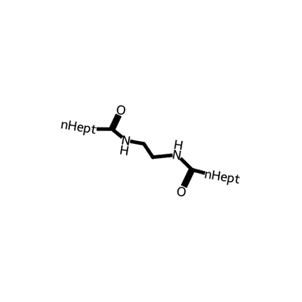 CCCCCCCC(=O)NCCNC(=O)CCCCCCC